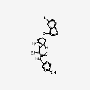 CCC(C(=O)Nc1cnc(C#N)cn1)[C@H]1[C@@H]2C[C@H](Oc3ccnc4ccc(F)cc34)C[C@@H]21